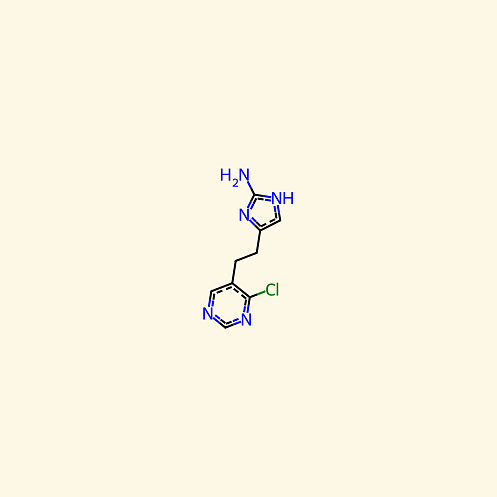 Nc1nc(CCc2cncnc2Cl)c[nH]1